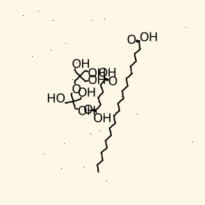 CCCCCCCCCCCCCCCCCCCCCC(=O)O.O=C(O)CCCCC(=O)O.OCC(CO)(CO)COCC(CO)(CO)CO